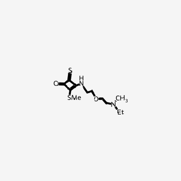 CCN(C)CCOCCNc1c(SC)c(=O)c1=S